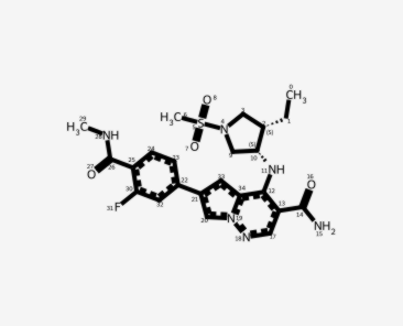 CC[C@H]1CN(S(C)(=O)=O)C[C@H]1Nc1c(C(N)=O)cnn2cc(-c3ccc(C(=O)NC)c(F)c3)cc12